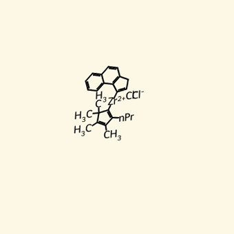 CCCC1=[C]([Zr+2][C]2=CCc3ccc4ccccc4c32)C(C)(C)C(C)=C1C.[Cl-].[Cl-]